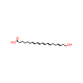 O=C(O)CCCCCC=CC=CC=CC=CCCC=CCCO